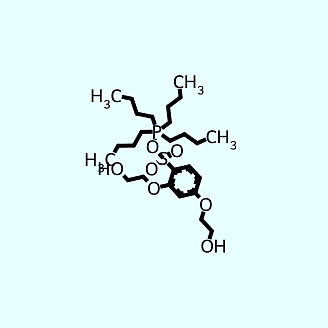 CCCCP(CCCC)(CCCC)(CCCC)OS(=O)(=O)c1ccc(OCCO)cc1OCCO